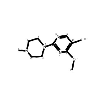 COc1nc(N2CCN(C)CC2)ncc1I